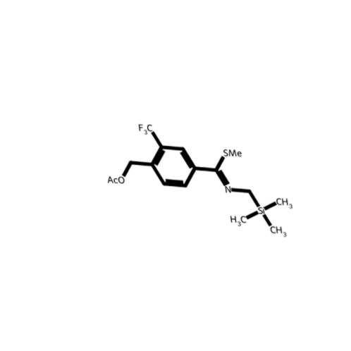 CS/C(=N\C[Si](C)(C)C)c1ccc(COC(C)=O)c(C(F)(F)F)c1